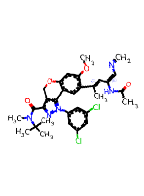 C=N/C=C(\C=C(/C)c1cc2c(cc1OC)OCc1c(C(=O)N(C)C(C)(C)C)nn(-c3cc(Cl)cc(Cl)c3)c1-2)NC(C)=O